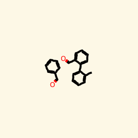 Cc1ccccc1-c1ccccc1C=O.O=Cc1ccccc1